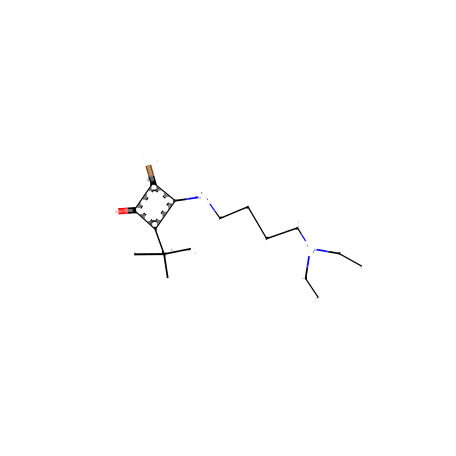 CCN(CC)CCCCNc1c(C(C)(C)C)c(=O)c1=S